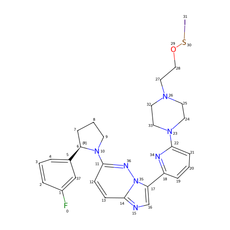 Fc1cccc([C@H]2CCCN2c2ccc3ncc(-c4cccc(N5CCN(CCOSI)CC5)n4)n3n2)c1